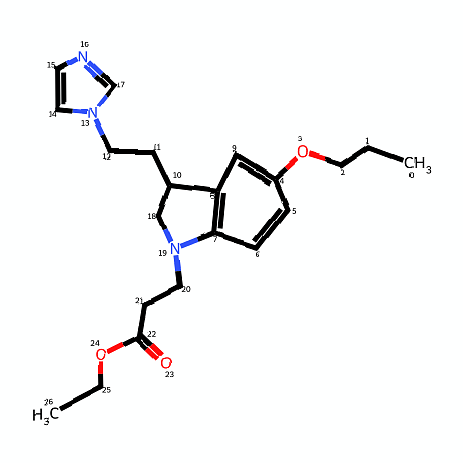 CCCOc1ccc2c(c1)C(CCn1ccnc1)CN2CCC(=O)OCC